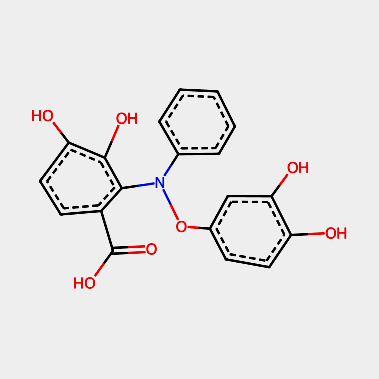 O=C(O)c1ccc(O)c(O)c1N(Oc1ccc(O)c(O)c1)c1ccccc1